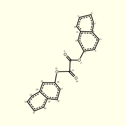 O=C(Oc1ccc2ccccc2c1)C(=O)Oc1ccc2ccccc2c1